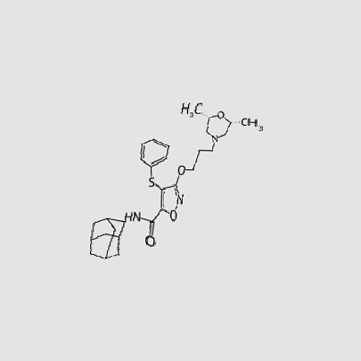 C[C@@H]1CN(CCCOc2noc(C(=O)NC3C4CC5CC(C4)CC3C5)c2Sc2ccccc2)C[C@H](C)O1